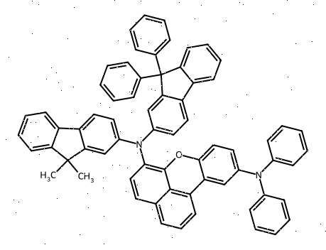 CC1(C)c2ccccc2-c2ccc(N(c3ccc4c(c3)C(c3ccccc3)(c3ccccc3)c3ccccc3-4)c3ccc4cccc5c4c3Oc3ccc(N(c4ccccc4)c4ccccc4)cc3-5)cc21